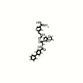 N=C(N)c1csc(CNC(=O)[C@@H]2CC3(CN2C(=O)CNC(=O)c2ccc(-c4ccccc4)cc2)OCCO3)c1